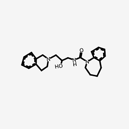 O=C(NCC(O)CN1CCc2ccccc2C1)N1CCCCc2ccccc21